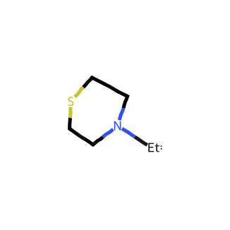 C[C]N1CCSCC1